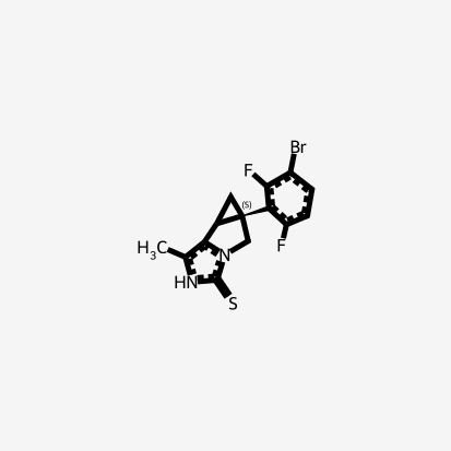 Cc1[nH]c(=S)n2c1C1C[C@]1(c1c(F)ccc(Br)c1F)C2